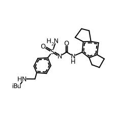 CCC(C)NCc1ccc(S(N)(=O)=NC(=O)Nc2c3c(cc4c2CCC4)CCC3)cc1